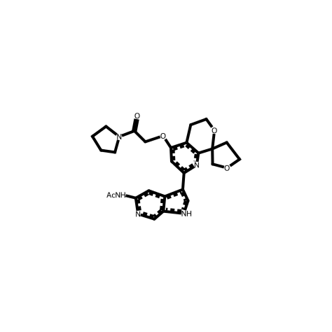 CC(=O)Nc1cc2c(-c3cc(OCC(=O)N4CCCC4)c4c(n3)C3(CCOC3)OCC4)c[nH]c2cn1